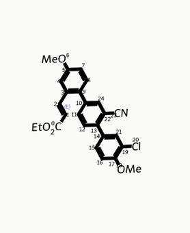 CCOC(=O)/C=C/c1cc(OC)ccc1-c1ccc(-c2ccc(OC)c(Cl)c2)c(C#N)c1